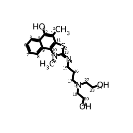 Cc1c(O)c2ccccc2c2c1sc(=NCCCN(CCO)CCO)n2C